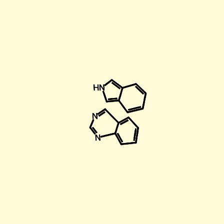 c1ccc2c[nH]cc2c1.c1ccc2ncncc2c1